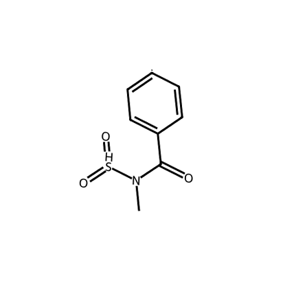 CN(C(=O)c1cc[c]cc1)[SH](=O)=O